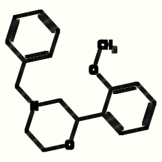 COc1ccccc1C1CN(Cc2ccccc2)CCO1